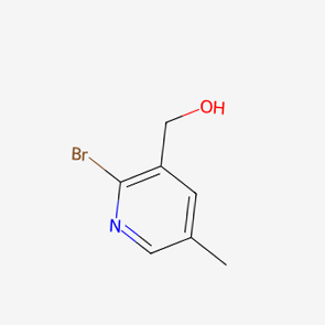 Cc1cnc(Br)c(CO)c1